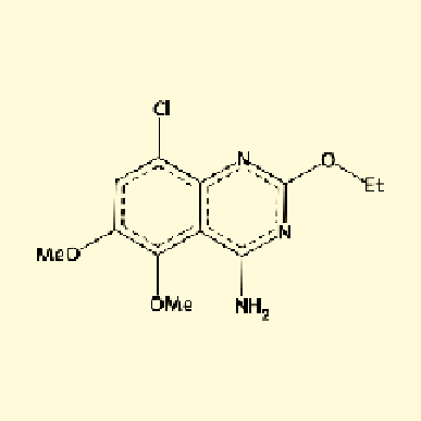 CCOc1nc(N)c2c(OC)c(OC)cc(Cl)c2n1